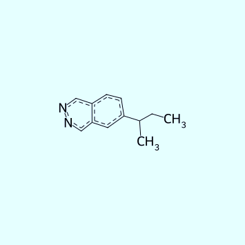 CCC(C)c1ccc2cnncc2c1